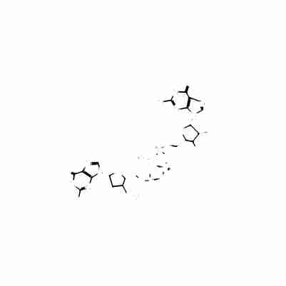 COC1[C@@H](COP(=O)(O)OP(=O)(O)OP(=S)(OC)OC[C@H]2O[C@@H](n3c[n+](C)c4c(=O)[nH]c(N)nc43)[C@@H](O)C2O)O[C@@H](n2cnc3c(=O)[nH]c(C)nc32)[C@H]1O